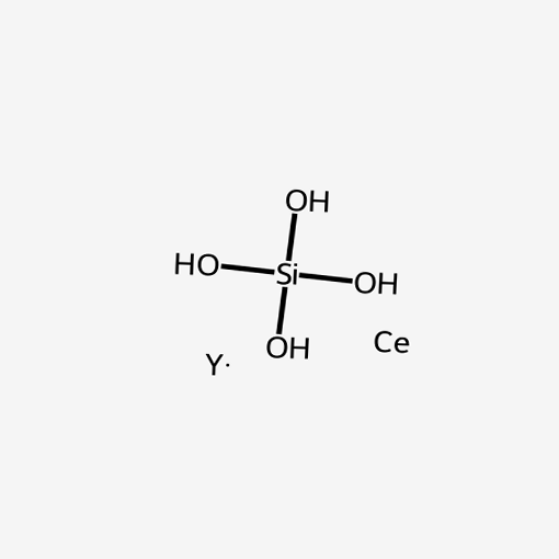 O[Si](O)(O)O.[Ce].[Y]